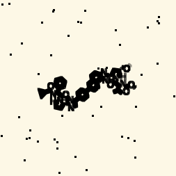 COC[C@H]1C[C@@H](c2nc3ccc4cc(-c5ccc(-c6cnc([C@@H]7CCCN7C(=O)[C@H](NC(=O)C7CC7)c7ccccc7)[nH]6)cc5)ccc4c3[nH]2)N(C(=O)[C@@H](NC(=O)OC)C(C)C)C1